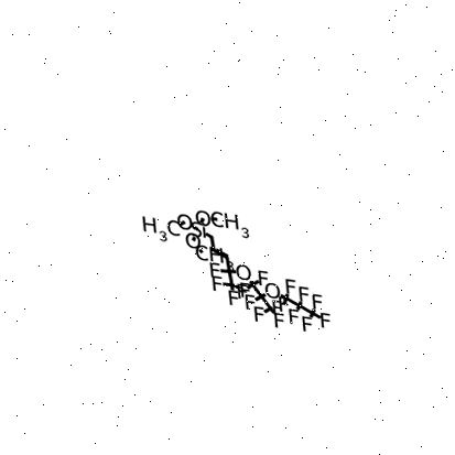 CO[Si](CC=CC(F)(OC(F)(F)C(F)(OC(F)(F)C(F)(F)C(F)(F)F)C(F)(F)F)C(F)(F)F)(OC)OC